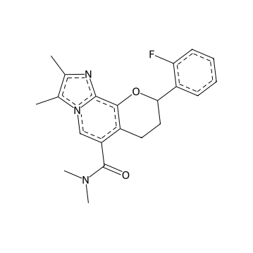 Cc1nc2c3c(c(C(=O)N(C)C)cn2c1C)CCC(c1ccccc1F)O3